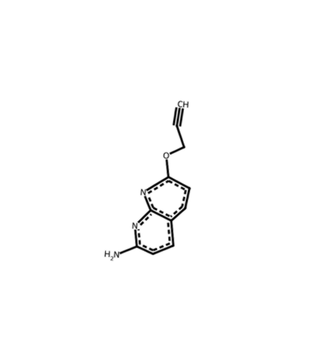 C#CCOc1ccc2ccc(N)nc2n1